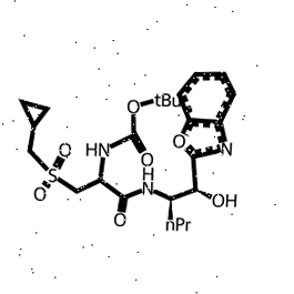 CCC[C@@H](NC(=O)C(CS(=O)(=O)CC1CC1)NC(=O)OC(C)(C)C)[C@H](O)c1nc2ccccc2o1